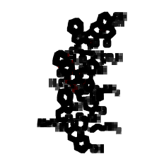 CCCC[C@@H](C(=O)N1C[C@@H](O)C[C@@H]1C(=O)N[C@@H](CC(=O)O)C(=O)N[C@H](C(=O)N(C)[C@@H](Cc1ccccc1)C(=O)N[C@@H](Cc1ccc(O)cc1)C(=O)N1C[C@@H](O)CC1=O)C(C)C)N(C)C(=O)[C@H](Cc1ccccc1)N(C)C(=O)[C@H](Cc1ccc(F)c(F)c1)NC(=O)CSC[C@H](NC(=O)[C@H](CCCN)NC(=O)[C@H](Cc1ccc(O)cc1)NC(=O)[C@H](Cc1c[nH]c2ccccc12)NC)C(=O)NCC(N)=O